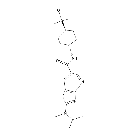 CC(C)N(C)c1nc2ncc(C(=O)N[C@H]3CC[C@H](C(C)(C)O)CC3)cc2s1